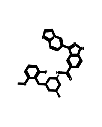 COc1cccc(F)c1CN1C[C@H](C)C[C@@H](NC(=O)c2ccc3[nH]nc(-c4ccc5nccn5c4)c3c2)C1